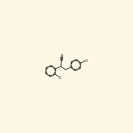 N#CC(Cc1ccc(Cl)cc1)c1ccccc1Cl